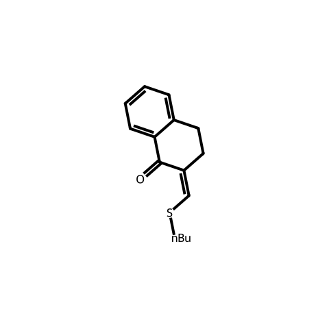 CCCCSC=C1CCc2ccccc2C1=O